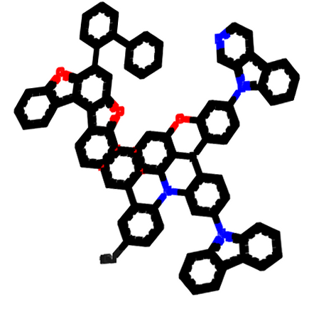 CC(C)(C)c1ccc(N2c3cc(-n4c5ccccc5c5ccccc54)ccc3B3c4ccc(-n5c6ccccc6c6ccncc65)cc4Oc4cc(-c5cccc6c5oc5cc(-c7ccccc7-c7ccccc7)c7oc8ccccc8c7c56)cc2c43)c(-c2ccccc2)c1